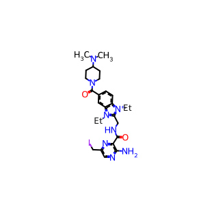 CCn1c(CNC(=O)c2nc(CI)cnc2N)[n+](CC)c2ccc(C(=O)N3CCC(N(C)C)CC3)cc21